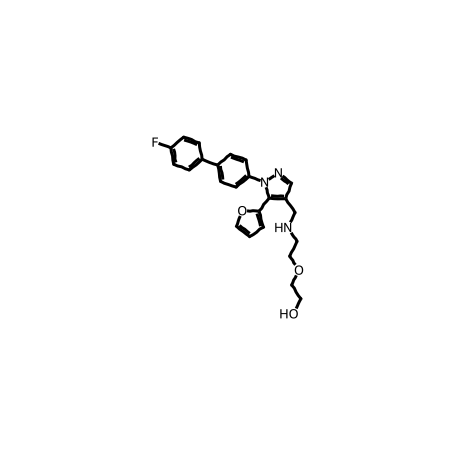 OCCOCCNCc1cnn(-c2ccc(-c3ccc(F)cc3)cc2)c1-c1ccco1